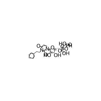 O=c1ccn([C@@H]2O[C@H](COP(=O)(O)O[PH](=O)O)C(O)[C@@H]2O)c(=O)n1CCc1ccccc1